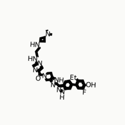 CCc1cc(O)c(F)cc1-c1ccc2c(-c3nc4c([nH]3)CCN(C(=O)c3cnc(NCCCN[C@H]5C[C@@H](N(C)C)C5)cn3)C4)n[nH]c2c1